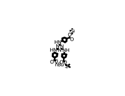 CCCCOC(=O)c1ccc(Nc2nc(Nc3ccc(C(=O)OC[Si](C)(C)C)cc3)nc(Nc3ccc(C(=O)OC[Si](C)(C)C)cc3)n2)cc1